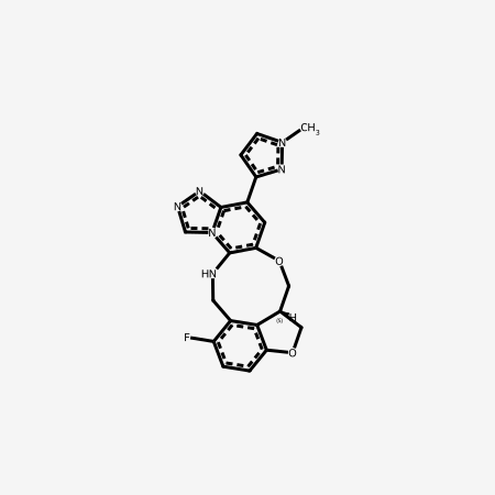 Cn1ccc(-c2cc3c(n4cnnc24)NCc2c(F)ccc4c2[C@@H](CO4)CO3)n1